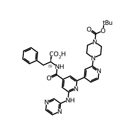 CC(C)(C)OC(=O)N1CCN(c2cc(-c3cc(C(=O)N[C@@H](Cc4ccccc4)C(=O)O)cc(Nc4cnccn4)n3)ccn2)CC1